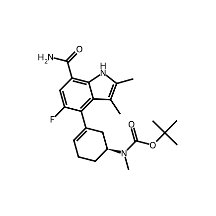 Cc1[nH]c2c(C(N)=O)cc(F)c(C3=CCC[C@H](N(C)C(=O)OC(C)(C)C)C3)c2c1C